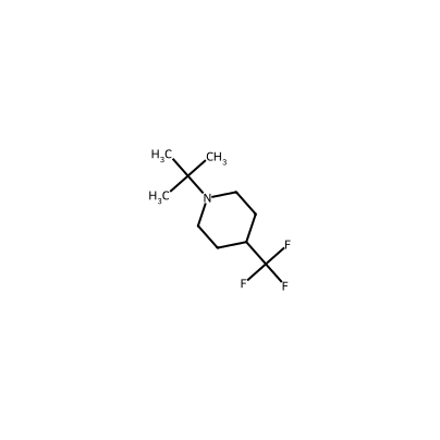 CC(C)(C)N1CCC(C(F)(F)F)CC1